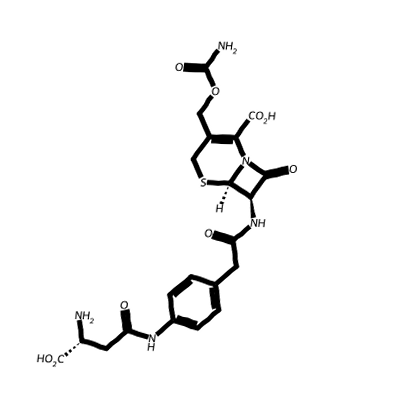 NC(=O)OCC1=C(C(=O)O)N2C(=O)[C@@H](NC(=O)Cc3ccc(NC(=O)C[C@@H](N)C(=O)O)cc3)[C@H]2SC1